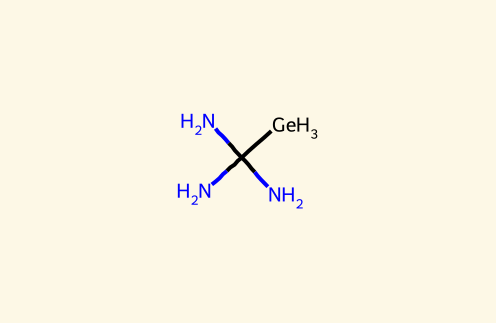 N[C](N)(N)[GeH3]